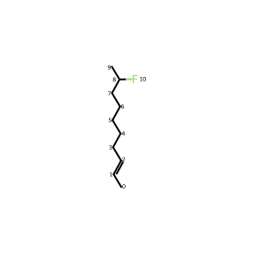 C/C=C/CCCCCC(C)F